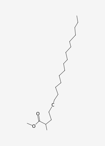 CCCCCCCCCCCCCCCCCCC(C)C(=O)OC